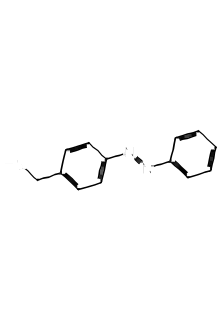 SCc1ccc(N=Nc2ccccc2)cc1